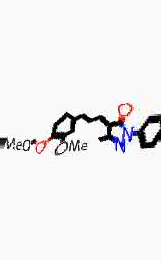 COCOc1ccc(C=CC=C2C(=O)N(c3ccccc3)N=C2C)cc1OC